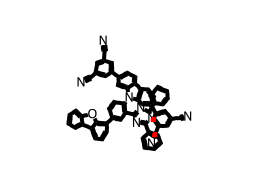 N#Cc1cc(C#N)cc(-c2ccc3c4ccc(-c5cc(C#N)cc(C#N)c5)cc4n(-c4ccc(-c5cccc6c5oc5ccccc56)cc4-c4nc(-c5ccccc5)nc(-c5ccccc5)n4)c3c2)c1